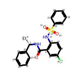 CC[C@H](NC(=O)c1cc(Cl)ccc1NS(=O)(=O)c1ccccc1)c1ccccc1